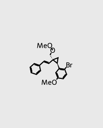 COOC[C@]1(/C=C/c2ccccc2)C[C@H]1c1cc(OC)ccc1Br